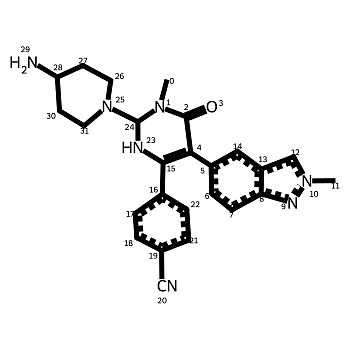 CN1C(=O)C(c2ccc3nn(C)cc3c2)=C(c2ccc(C#N)cc2)NC1N1CCC(N)CC1